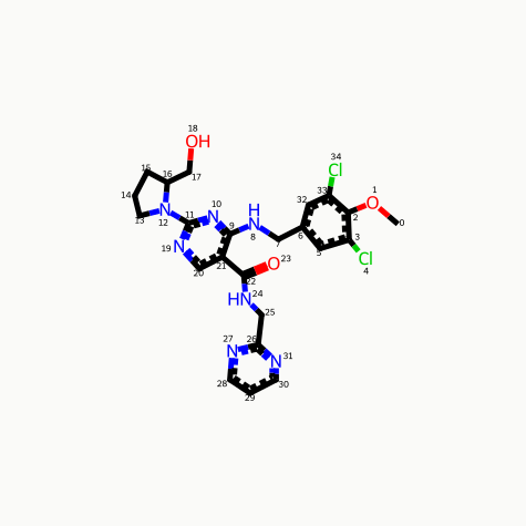 COc1c(Cl)cc(CNc2nc(N3CCCC3CO)ncc2C(=O)NCc2ncccn2)cc1Cl